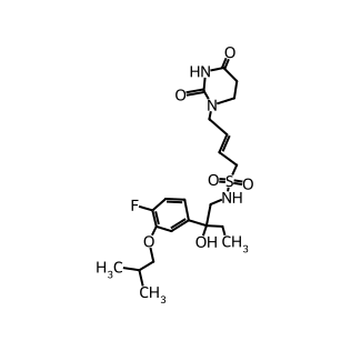 CCC(O)(CNS(=O)(=O)C/C=C/CN1CCC(=O)NC1=O)c1ccc(F)c(OCC(C)C)c1